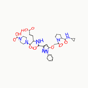 O=C(O)CCC(NC(=O)c1cc(OCC(=O)N2CCCC2C(=O)NC2CC2)n(-c2ccccc2)n1)C(=O)N1CCN(C(=O)O)CC1